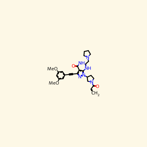 C=CC(=O)N1CCC(n2nc(C#Cc3cc(OC)cc(OC)c3)c(C(N)=O)c2NCCN2CCCC2)C1